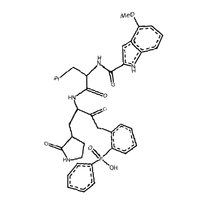 COc1cccc2[nH]c(C(=O)NC(CC(C)C)C(=O)NC(CC3CCNC3=O)C(=O)Cc3ccccc3P(=O)(O)c3ccccc3)cc12